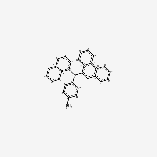 Bc1ccc(N(c2cccc3ccccc23)c2cc3ccccc3c3ccccc23)cc1